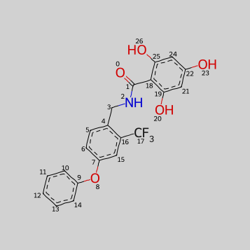 O=C(NCc1ccc(Oc2ccccc2)cc1C(F)(F)F)c1c(O)cc(O)cc1O